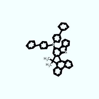 CC1(C)c2cc(N(c3ccc(-c4ccccc4)cc3)c3ccc(-c4ccccc4)cc3)c3c(sc4ccccc43)c2-c2c1c1ccccc1c1ccccc21